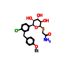 CCOc1ccc(Cc2cc([C@@H]3O[C@H](SCC(N)=O)[C@H](O)[C@@H](O)[C@H]3O)ccc2Cl)cc1